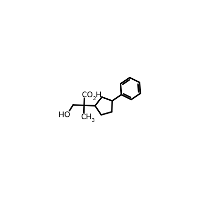 CC(CO)(C(=O)O)C1CCC(c2ccccc2)C1